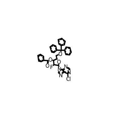 O=C(OC1C(COC(c2ccccc2)(c2ccccc2)c2ccccc2)OC(n2cnc3c(Cl)ncnc32)C1F)c1ccccc1